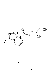 O=C(OCC(O)CO)N1C=CCN2CNNC21